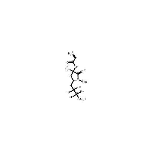 C=CC(=O)OC(OCCC(F)(F)C(F)(F)S(=O)(=O)O)(C(=O)OCCCC)C(F)(F)F